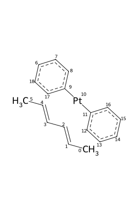 CC=CC=CC.c1cc[c]([Pt][c]2ccccc2)cc1